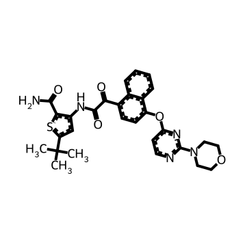 CC(C)(C)c1cc(NC(=O)C(=O)c2ccc(Oc3ccnc(N4CCOCC4)n3)c3ccccc23)c(C(N)=O)s1